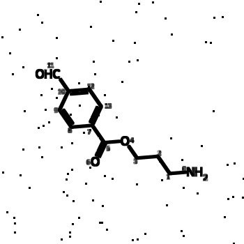 NCCCOC(=O)c1ccc(C=O)cc1